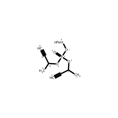 C#CC(C)OP(=O)(OCCCCC)OC(C)C#C